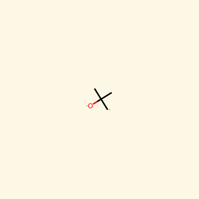 [CH2]C(C)(C)[O]